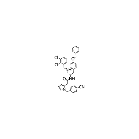 N#Cc1ccc(Cn2cncc2CC(=O)N[C@H](CNCc2cccc(Cl)c2Cl)Cc2ccc(OCc3ccccc3)cc2)cc1